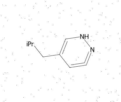 CC(C)CC1=CNN=C=C1